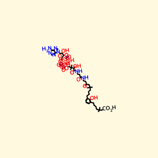 CC(C)(CCCCc1cccc(CCCCC(C)(C)CC(=O)CCNC(=O)CCNC(=O)C(O)C(C)(C)COP(=O)(O)OP(=O)(O)OCC2OC(n3cnc4c(N)ncnc43)C(O)C2OP(=O)(O)O)c1O)CC(=O)O